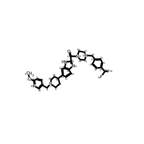 COc1ccc(CN2CCC(c3ccc4nc(C(=O)N5CCN(Cc6ccc(C(F)F)cc6)CC5)[nH]c4c3)CC2)cn1